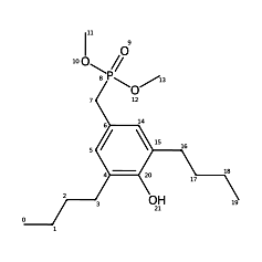 CCCCc1cc(CP(=O)(OC)OC)cc(CCCC)c1O